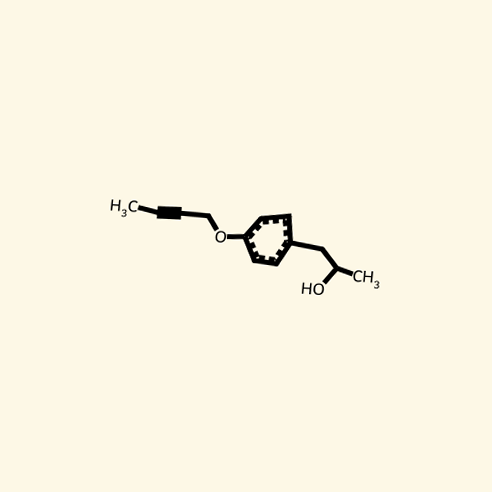 CC#CCOc1ccc(CC(C)O)cc1